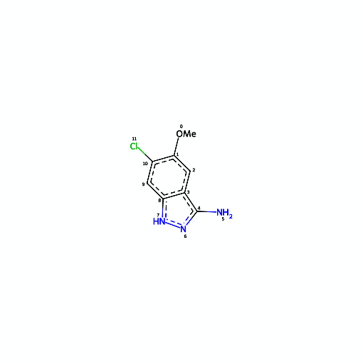 COc1cc2c(N)n[nH]c2cc1Cl